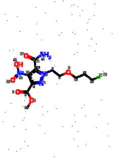 COC(=O)c1nn(CCOCCCF)c(C(N)=O)c1[N+](=O)O